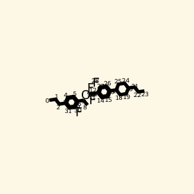 CCCc1ccc(C(C)OC(F)(F)c2ccc(C3CCC(CCC)CC3)cc2F)c(F)c1